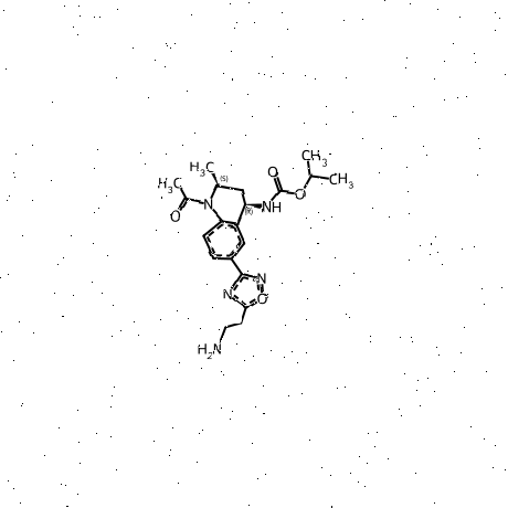 CC(=O)N1c2ccc(-c3noc(CCN)n3)cc2[C@H](NC(=O)OC(C)C)C[C@@H]1C